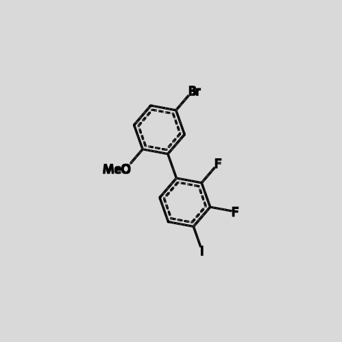 COc1ccc(Br)cc1-c1ccc(I)c(F)c1F